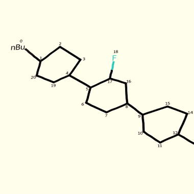 CCCCC1CCC(C2CCC(C3CCC(C)CC3)CC2F)CC1